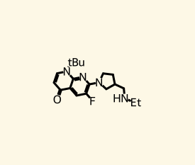 CCNCC1CCN(c2nc3c(cc2F)c(=O)ccn3C(C)(C)C)C1